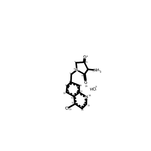 Cl.NC1C(=O)CN(Cc2ccc3c(Cl)ccnc3c2)C1=O